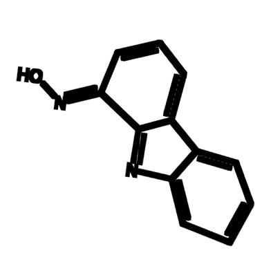 O/N=C1\C=CC=C2C1=Nc1ccccc12